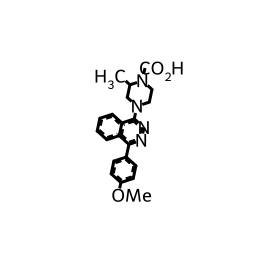 COc1ccc(-c2nnc(N3CCN(C(=O)O)C(C)C3)c3ccccc23)cc1